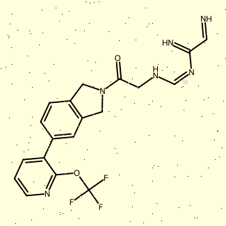 N=CC(=N)/N=C\NCC(=O)N1Cc2ccc(-c3cccnc3OC(F)(F)F)cc2C1